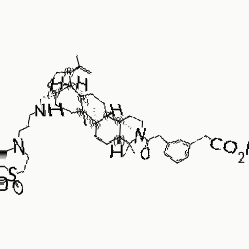 C=C(C)[C@@H]1CC[C@]2(CNCCCN3CCS(=O)(=O)CC3)CC[C@]3(C)[C@H](CC[C@@H]4[C@@]5(C)CCN(C(=O)Cc6cccc(CC(=O)O)c6)C(C)(C)[C@@H]5CC[C@]43C)[C@@H]12